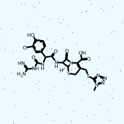 Cn1nnnc1SCC1=C(C(=O)O)N2C(=O)C(NC(=O)C(NC(=O)NC(=N)N)c3ccc(O)c(Cl)c3)[C@@H]2SC1